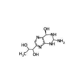 CC(O)C(O)c1cnc2c(n1)NC(N)N[C@@H]2O